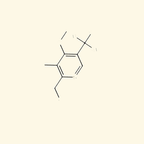 [2H]C([2H])([2H])c1cnc(CCl)c(C)c1OC